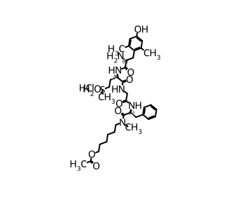 CSCC[C@@H](NC(=O)[C@H](N)Cc1c(C)cc(O)cc1C)C(=O)NCC(=O)N[C@@H](Cc1ccccc1)C(=O)N(C)CCCCCCOC(C)=O.Cl.O